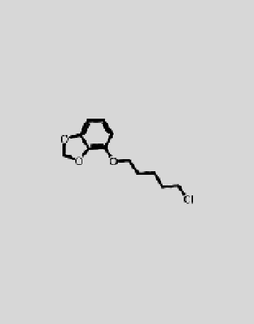 ClCCCCCOc1cccc2c1OCO2